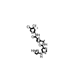 C[C@@H](NC(=O)c1cc(Nc2cc[nH]n2)ncn1)c1ncc(C(=O)Nc2cc(C(F)(F)F)c(Cl)cn2)s1